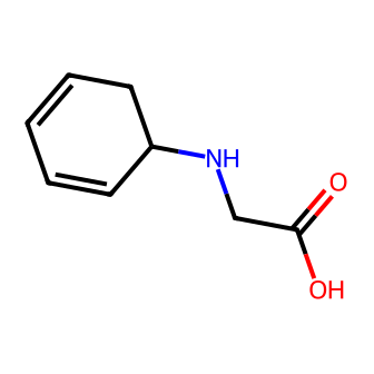 O=C(O)CNC1C=CC=CC1